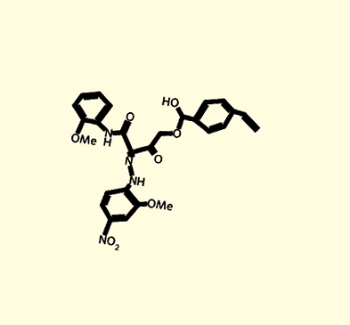 C=Cc1ccc(C(O)OCC(=O)/C(=N\Nc2ccc([N+](=O)[O-])cc2OC)C(=O)Nc2ccccc2OC)cc1